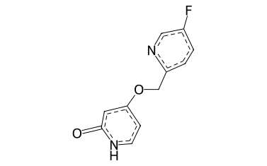 O=c1cc(OCc2ccc(F)cn2)cc[nH]1